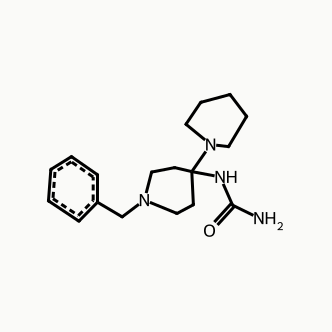 NC(=O)NC1(N2CCCCC2)CCN(Cc2ccccc2)CC1